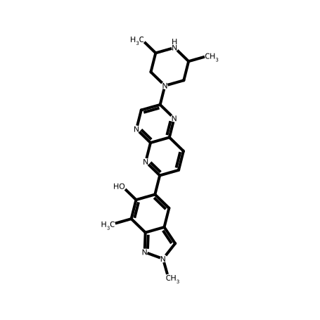 Cc1c(O)c(-c2ccc3nc(N4CC(C)NC(C)C4)cnc3n2)cc2cn(C)nc12